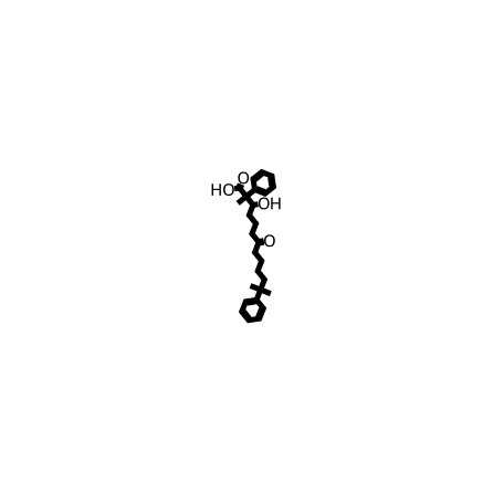 CC(C)(CCCCC(=O)CCCC(O)C(C)(C(=O)O)c1ccccc1)c1ccccc1